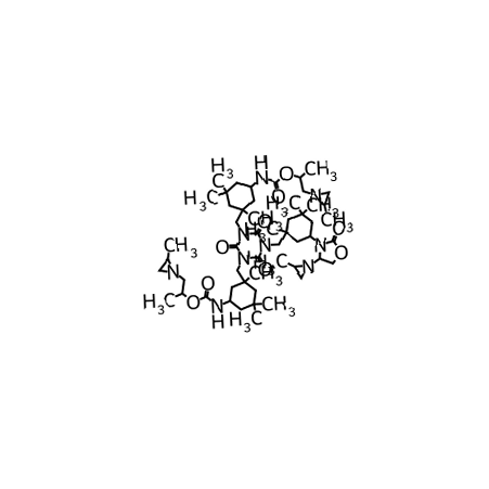 CC(CN1CC1C)OC(=O)NC1CC(C)(C)CC(C)(Cn2c(=O)n(CC3(C)CC(NC(=O)OC(C)CN4CC4C)CC(C)(C)C3)c(=O)n(CC3(C)CC(N4C(=O)OCC4N4CC4C)CC(C)(C)C3)c2=O)C1